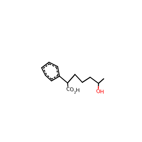 CC(O)CCCC(C(=O)O)c1ccccc1